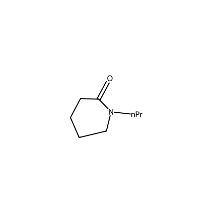 [CH2]CCN1CCCCC1=O